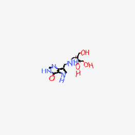 O=c1[nH]cnc2c(CNC[C@@H](CO)[C@@H](O)CO)c[nH]c12